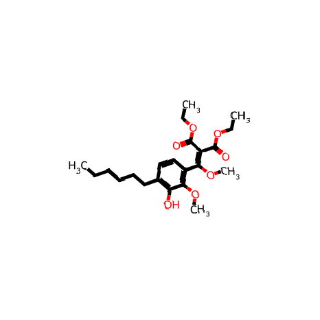 CCCCCCc1ccc(C(OC)=C(C(=O)OCC)C(=O)OCC)c(OC)c1O